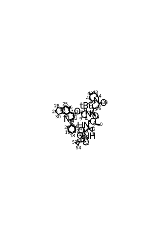 C=C[C@@H]1CC1(NC(=O)[C@@H]1C[C@@H](Oc2cc(-c3ccccc3)nc3c4c(ccc23)CCC4)CN1C(=O)C(CC(=O)N1CCCCC1)C(C)(C)C)C(=O)NS(=O)(=O)C1CC1